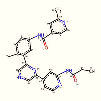 Cc1ccc(NC(=O)c2ccnc(C(F)(F)F)c2)cc1-c1cncc(-c2ccnc(NC(=O)CC#N)c2)n1